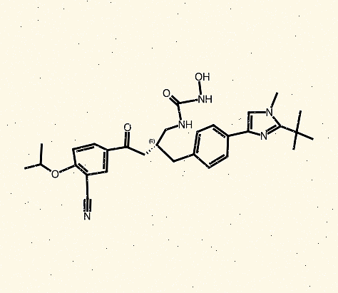 CC(C)Oc1ccc(C(=O)C[C@H](CNC(=O)NO)Cc2ccc(-c3cn(C)c(C(C)(C)C)n3)cc2)cc1C#N